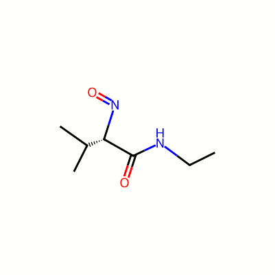 CCNC(=O)[C@@H](N=O)C(C)C